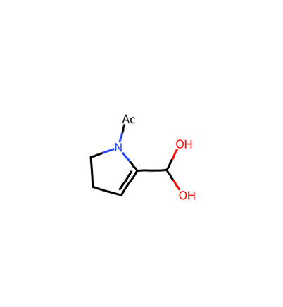 CC(=O)N1CCC=C1C(O)O